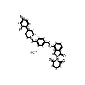 Cl.O=C1c2cccc(OCc3ccc(CN4CCC(c5ccc(F)cc5F)CC4)cc3)c2CN1N1C(=O)CCCC1=O